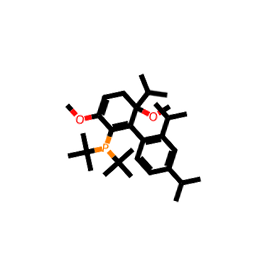 COC1=CCC(OC)(C(C)C)C(c2ccc(C(C)C)cc2C(C)C)=C1P(C(C)(C)C)C(C)(C)C